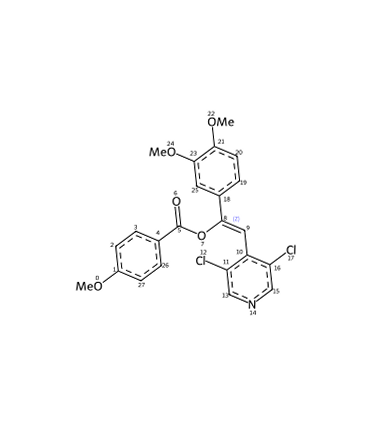 COc1ccc(C(=O)O/C(=C\c2c(Cl)cncc2Cl)c2ccc(OC)c(OC)c2)cc1